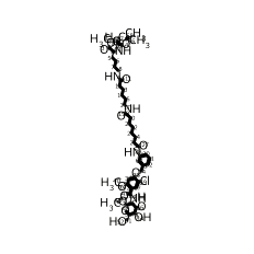 COC(=O)[C@H](CCCCNC(=O)CCCCCNC(=O)CCCCCCC(=O)Nc1cccc(COc2cc(OC)c(C(=O)N[C@H]3[C@@H](OC)O[C@H](CO)[C@@H](O)[C@@H]3O)cc2Cl)c1)NC(=O)OC(C)(C)C